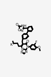 CCCCc1c(Cc2ccc(-c3ccccc3-c3noc(=O)[nH]3)cc2)c(=O)n(-c2ccc(OC)c(F)c2)c2ncnn12.[K]